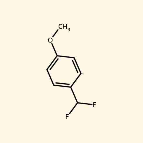 COc1c[c]c(C(F)F)cc1